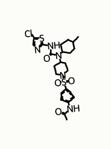 CC(=O)Nc1ccc(S(=O)(=O)N2CCC(N(C(=O)Nc3ncc(Cl)s3)C3CCC(C)CC3)CC2)cc1